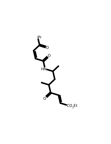 CCOC(=O)/C=C/C(=O)C(C)CC(C)NC(=O)/C=C\C(=O)C(C)C